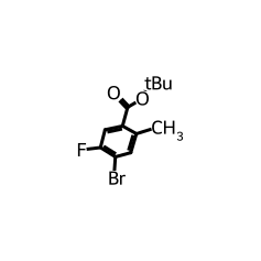 Cc1cc(Br)c(F)cc1C(=O)OC(C)(C)C